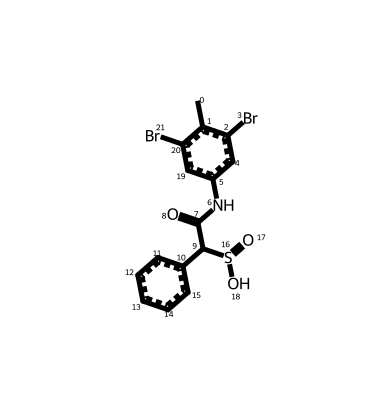 Cc1c(Br)cc(NC(=O)C(c2ccccc2)S(=O)O)cc1Br